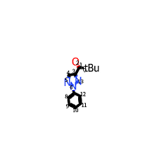 CC(C)(C)C(=O)c1cnn(-c2ccccc2)n1